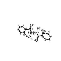 O=C(NNC(=O)c1ccccc1[N+](=O)[O-])c1ccccc1O